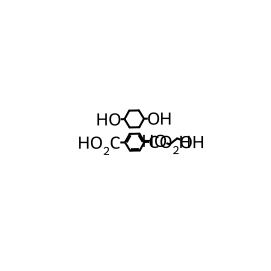 O=C(O)c1ccc(C(=O)O)cc1.OC1CCC(O)CC1.OCCO